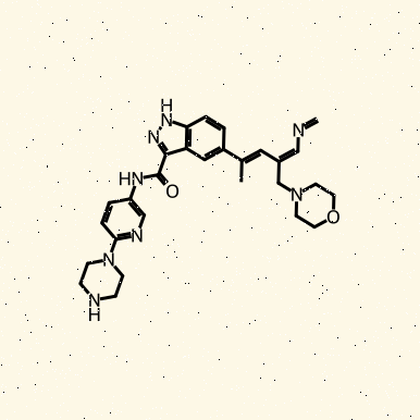 C=N/C=C(\C=C(/C)c1ccc2[nH]nc(C(=O)Nc3ccc(N4CCNCC4)nc3)c2c1)CN1CCOCC1